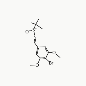 COc1cc(/C=N/[S@@+]([O-])C(C)(C)C)cc(OC)c1Br